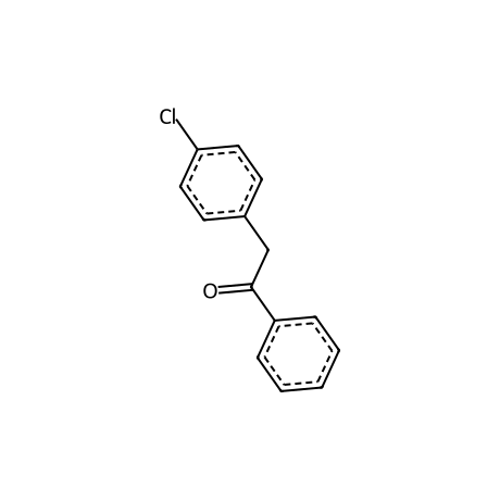 O=C(Cc1ccc(Cl)cc1)c1ccccc1